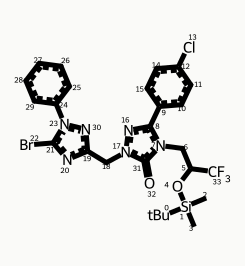 CC(C)(C)[Si](C)(C)OC(Cn1c(-c2ccc(Cl)cc2)nn(Cc2nc(Br)n(-c3ccccc3)n2)c1=O)C(F)(F)F